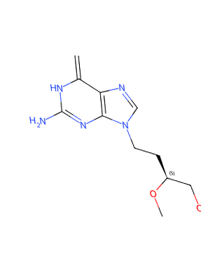 C=C1NC(N)=Nc2c1ncn2CC[C@@H](CO)OC